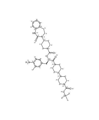 Cc1cc(C[C@@H](OC(=O)N2CCC(N3CCc4ccccc4NC3=O)CC2)C(=O)N2CCC(N3CCN(C(=O)OC(C)(C)C)CC3)CC2)cnc1N